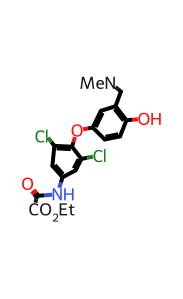 CCOC(=O)C(=O)Nc1cc(Cl)c(Oc2ccc(O)c(CNC)c2)c(Cl)c1